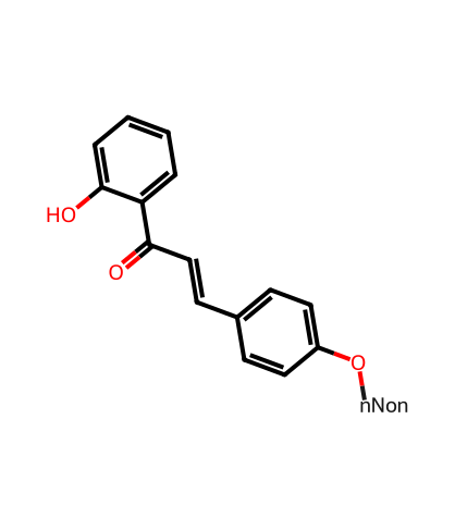 CCCCCCCCCOc1ccc(/C=C/C(=O)c2ccccc2O)cc1